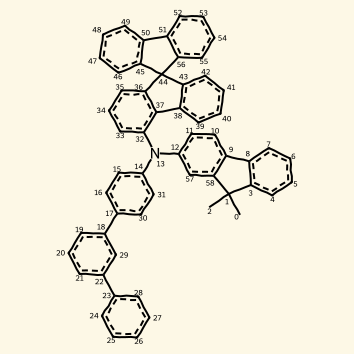 CC1(C)c2ccccc2-c2ccc(N(c3ccc(-c4cccc(-c5ccccc5)c4)cc3)c3cccc4c3-c3ccccc3C43c4ccccc4-c4ccccc43)cc21